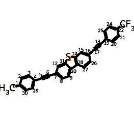 Cc1ccc(C#Cc2ccc3c(c2)sc2cc(C#Cc4ccc(C(F)(F)F)cc4)ccc23)cc1